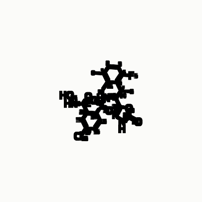 Cc1ccc(F)c([C@@H](C)[C@H](NS(=O)(=O)c2ccc(Cl)cc2C(=O)NO)c2n[nH]c(=O)o2)c1C